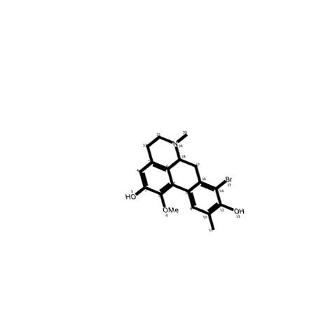 COc1c(O)cc2c3c1-c1cc(C)c(O)c(Br)c1CC3N(C)CC2